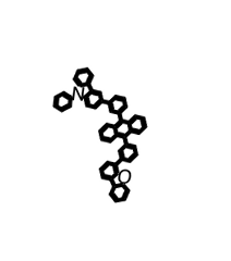 C1=CC2Oc3c(-c4cccc(-c5c6ccccc6c(-c6cccc(-c7ccc8c(c7)c7ccccc7n8-c7ccccc7)c6)c6ccccc56)c4)cccc3C2C=C1